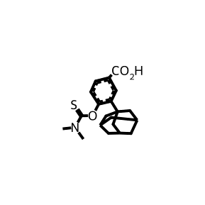 CN(C)C(=S)Oc1ccc(C(=O)O)cc1C12CC3CC(CC(C3)C1)C2